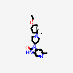 CCO[C@H]1CC[C@](C)(N2CCC(n3c(=O)[nH]c4cnc(C)cc43)CC2)CC1